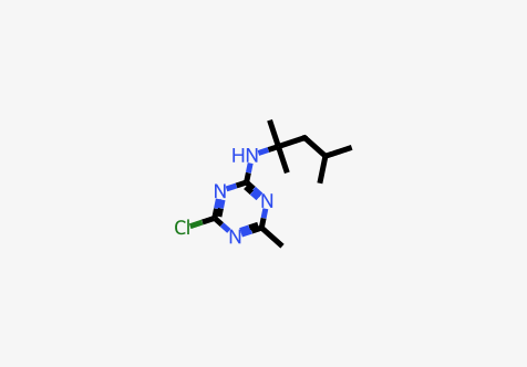 Cc1nc(Cl)nc(NC(C)(C)CC(C)C)n1